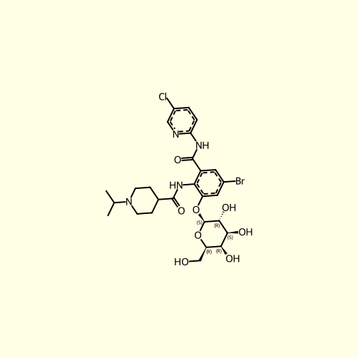 CC(C)N1CCC(C(=O)Nc2c(O[C@@H]3O[C@H](CO)[C@H](O)[C@H](O)[C@H]3O)cc(Br)cc2C(=O)Nc2ccc(Cl)cn2)CC1